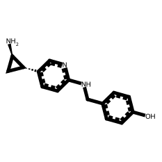 N[C@@H]1C[C@H]1c1ccc(NCc2ccc(O)cc2)nc1